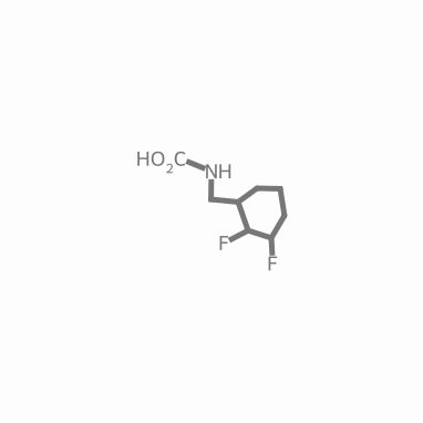 O=C(O)NCC1CCCC(F)C1F